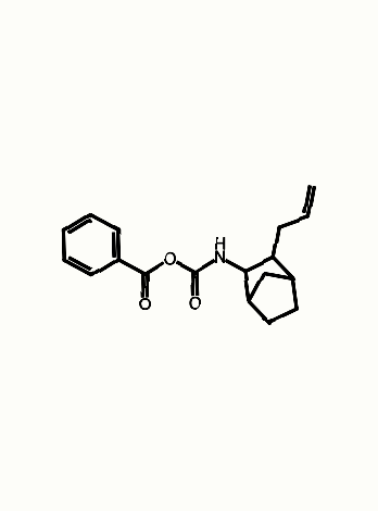 C=CCC1C2CCC(C2)C1NC(=O)OC(=O)c1ccccc1